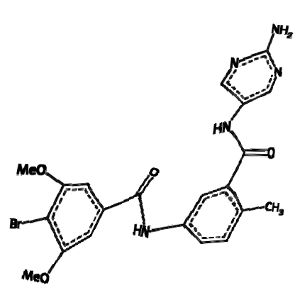 COc1cc(C(=O)Nc2ccc(C)c(C(=O)Nc3cnc(N)nc3)c2)cc(OC)c1Br